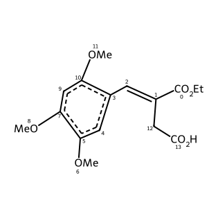 CCOC(=O)C(=Cc1cc(OC)c(OC)cc1OC)CC(=O)O